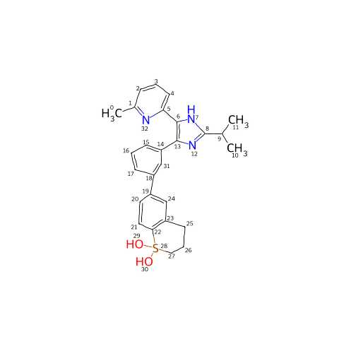 Cc1cccc(-c2[nH]c(C(C)C)nc2-c2cccc(-c3ccc4c(c3)CCCS4(O)O)c2)n1